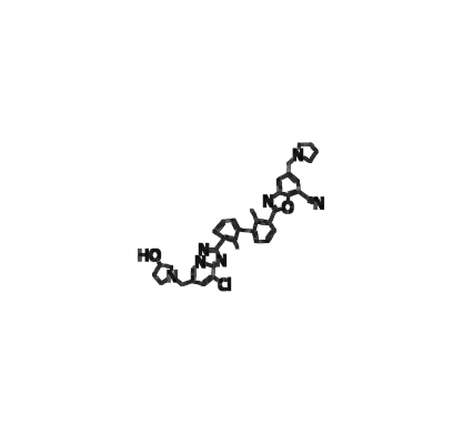 Cc1c(-c2nc3c(Cl)cc(CN4CCC(O)C4)cn3n2)cccc1-c1cccc(-c2nc3cc(CN4CCCC4)cc(C#N)c3o2)c1C